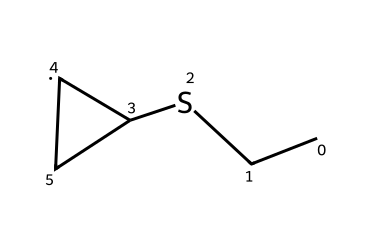 CCSC1[CH]C1